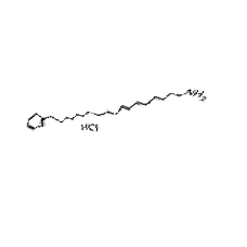 Cl.NCCCCCCCCCCCCCCCCCCc1ccccc1